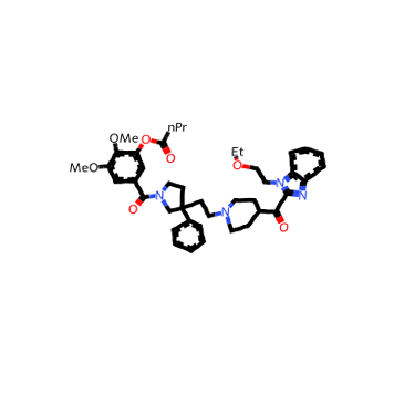 CCCC(=O)Oc1cc(C(=O)N2CCC(CCN3CCC(C(=O)c4nc5ccccc5n4CCOCC)CC3)(c3ccccc3)C2)cc(OC)c1OC